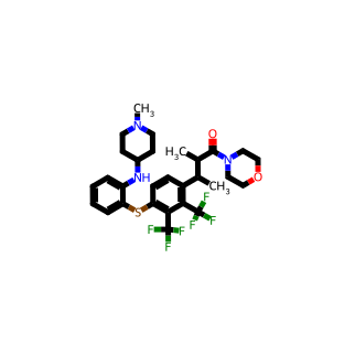 CC(C(=O)N1CCOCC1)C(C)c1ccc(Sc2ccccc2NC2CCN(C)CC2)c(C(F)(F)F)c1C(F)(F)F